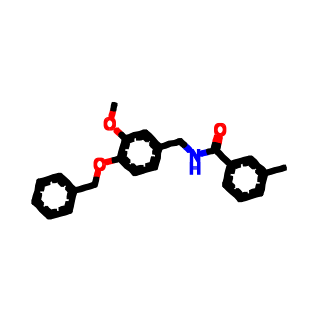 COc1cc(CNC(=O)c2cccc(C)c2)ccc1OCc1ccccc1